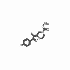 CC(C)(C)OC(=O)N1CCn2nc(-c3ccc(F)cc3)c(I)c2C1